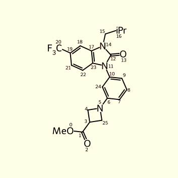 COC(=O)C1CN(c2cccc(-n3c(=O)n(CC(C)C)c4cc(C(F)(F)F)ccc43)c2)C1